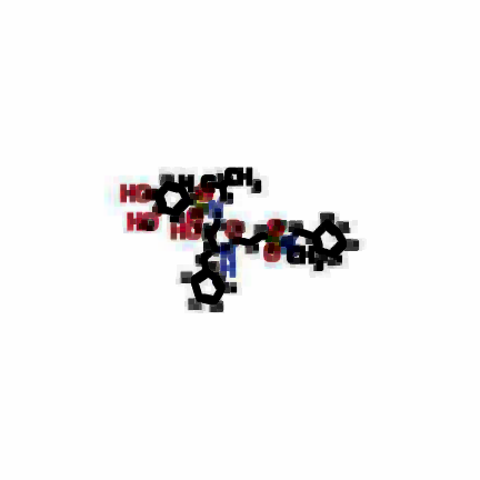 CC(C)CN(C[C@@H](O)[C@H](Cc1ccccc1)NC(=O)CCS(=O)(=O)N(C)Cc1ccccc1)S(=O)(=O)c1ccc(O)c(O)c1